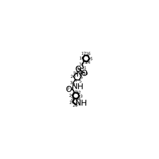 O=C(NCC1CCN(S(=O)(=O)CCc2ccccc2)CC1)c1ccc2[nH]ccc2c1